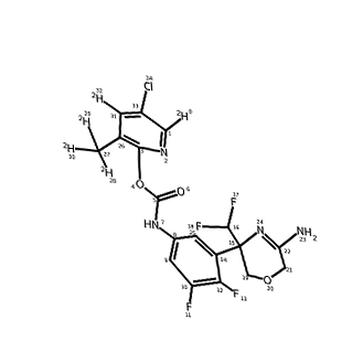 [2H]c1nc(OC(=O)Nc2cc(F)c(F)c(C3(C(F)F)COCC(N)=N3)c2)c(C([2H])([2H])[2H])c([2H])c1Cl